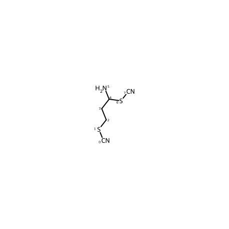 N#CSCCC(N)SC#N